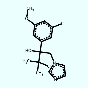 COc1cc(Cl)cc(C(O)(Cn2ccnc2)C(C)(C)C)c1